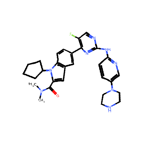 CN(C)C(=O)c1cc2cc(-c3nc(Nc4ccc(N5CCNCC5)cn4)ncc3F)ccc2n1C1CCCC1